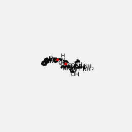 CC[C@H](C)[C@@H](C(=O)N[C@@H](CC(=O)O)C(=O)N[C@@H](CCCNC(=N)N)C(=O)NCC(C)C)N1CC[C@H](NC(=O)Cc2ccc(NC(=O)c3ccc4ccccc4c3)cc2)C1=O